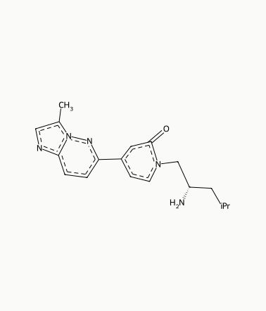 Cc1cnc2ccc(-c3ccn(C[C@@H](N)CC(C)C)c(=O)c3)nn12